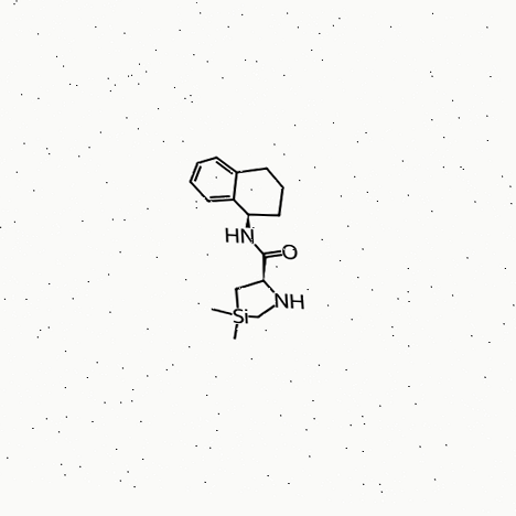 C[Si]1(C)CN[C@H](C(=O)N[C@@H]2CCCc3ccccc32)C1